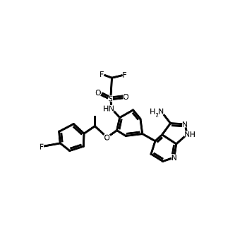 CC(Oc1cc(-c2ccnc3[nH]nc(N)c23)ccc1NS(=O)(=O)C(F)F)c1ccc(F)cc1